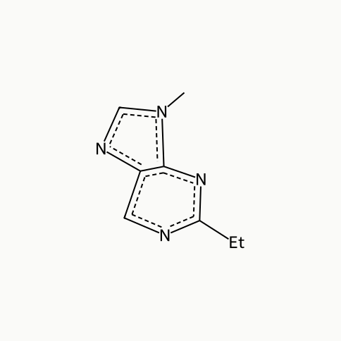 CCc1ncc2ncn(C)c2n1